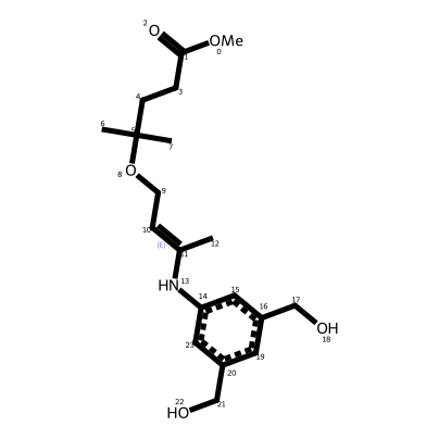 COC(=O)CCC(C)(C)OC/C=C(\C)Nc1cc(CO)cc(CO)c1